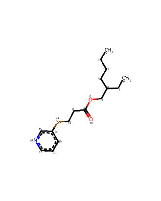 CCCCC(CC)COC(=O)CCSc1cccnc1